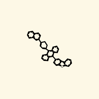 C1=C(c2ccc3ccccc3c2)CCC(c2c3ccccc3c(-c3ccc4oc5ccccc5c4c3)c3ccccc23)=C1